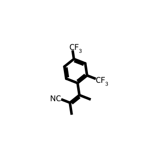 C/C(C#N)=C(\C)c1ccc(C(F)(F)F)cc1C(F)(F)F